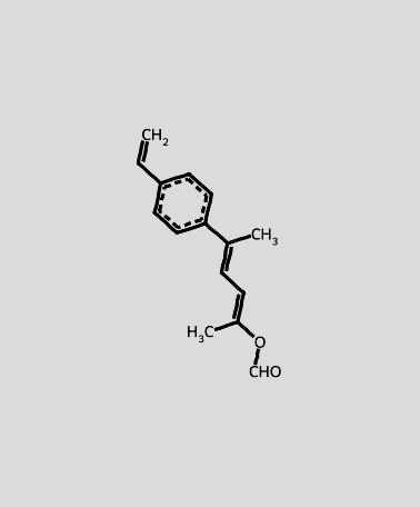 C=Cc1ccc(/C(C)=C/C=C(\C)OC=O)cc1